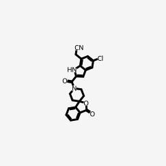 N#CCc1cc(Cl)cc2cc(C(=O)N3CCC4(CC3)OC(=O)c3ccccc34)[nH]c12